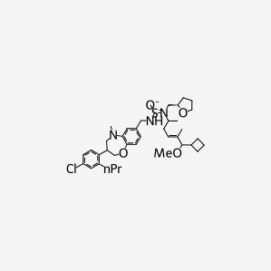 CCCc1cc(Cl)ccc1C1COc2ccc(CN[S+]([O-])N(C[C@H]3CCCO3)C(C)C/C=C(\C)C(OC)C3CCC3)cc2N(C)C1